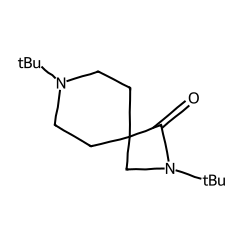 CC(C)(C)N1CCC2(CC1)CN(C(C)(C)C)C2=O